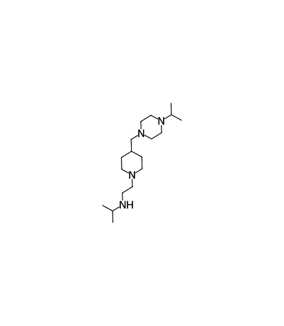 CC(C)NCCN1CCC(CN2CCN(C(C)C)CC2)CC1